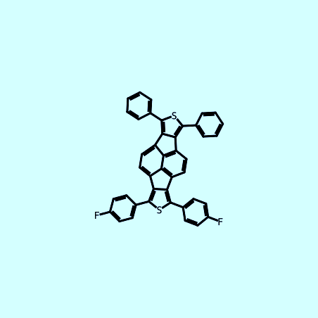 Fc1ccc(-c2sc(-c3ccc(F)cc3)c3c2-c2ccc4c5c(ccc-3c25)-c2c(-c3ccccc3)sc(-c3ccccc3)c2-4)cc1